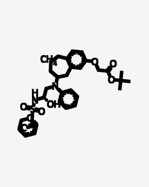 C.CC(C)(C)OC(=O)COc1ccc2c(c1)CC(N(C[C@@H](O)NS(=O)(=O)c1cc3ccc1OC3)c1ccccc1)CCC2